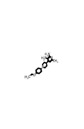 CCO[C@H]1CC[C@H](N2CCC(c3cc(C)nc(N)c3N)CC2)CC1